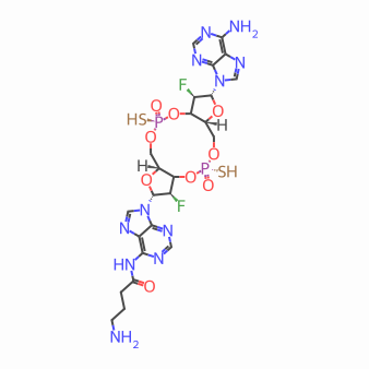 NCCCC(=O)Nc1ncnc2c1ncn2[C@@H]1O[C@@H]2CO[P@@](=O)(S)OC3[C@@H](F)[C@H](n4cnc5c(N)ncnc54)O[C@@H]3CO[P@](=O)(S)OC2[C@H]1F